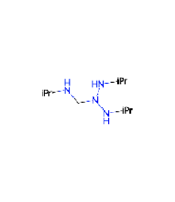 CC(C)NCN(NC(C)C)NC(C)C